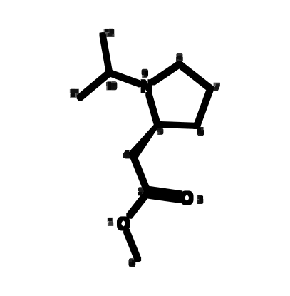 COC(=O)C[C@@H]1CCCN1C(C)C